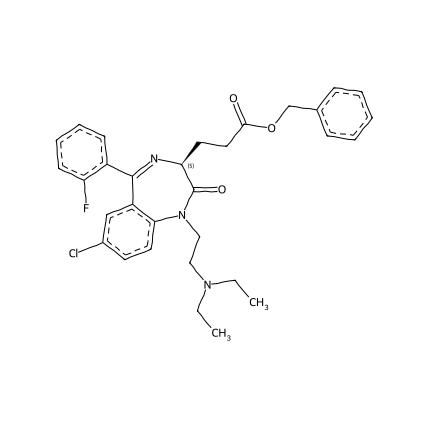 CCN(CC)CCN1C(=O)[C@H](CCC(=O)OCc2ccccc2)N=C(c2ccccc2F)c2cc(Cl)ccc21